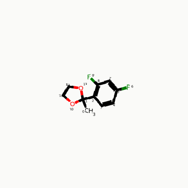 CC1(c2ccc(F)cc2F)OCCO1